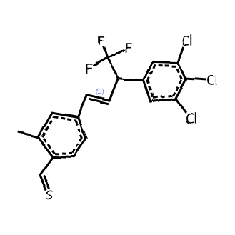 Cc1cc(/C=C/C(c2cc(Cl)c(Cl)c(Cl)c2)C(F)(F)F)ccc1C=S